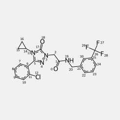 O=C(Cn1nc(-c2ccccc2Cl)n(C2CC2)c1=O)NCc1cccc(C(F)(F)F)c1